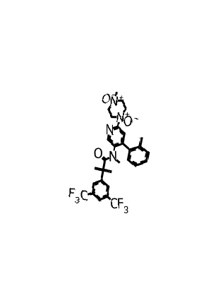 Cc1ccccc1-c1cc([N+]2([O-])CC[N+](C)([O-])CC2)ncc1N(C)C(=O)C(C)(C)c1cc(C(F)(F)F)cc(C(F)(F)F)c1